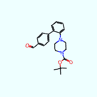 CC(C)(C)OC(=O)N1CCN(c2ccccc2-c2ccc(C=O)cc2)CC1